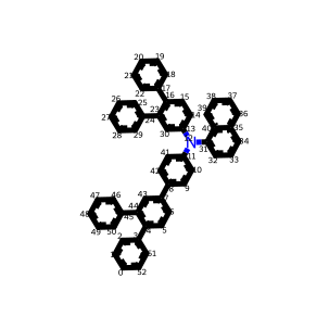 c1ccc(-c2ccc(-c3ccc(N(c4ccc(-c5ccccc5)c(-c5ccccc5)c4)c4cccc5ccccc45)cc3)cc2-c2ccccc2)cc1